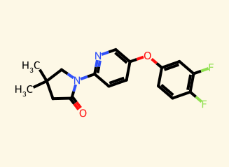 CC1(C)CC(=O)N(c2ccc(Oc3ccc(F)c(F)c3)cn2)C1